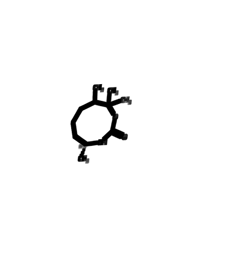 CC1CCC[C@@H](C)NC(=O)OC1(C)C